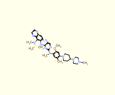 COc1cc(N2CCC(N3CCN(C)CC3)CC2)c(C)cc1N(C)c1ncc(N)c(N(C)c2ccc3nccnc3c2N(C)SC)n1